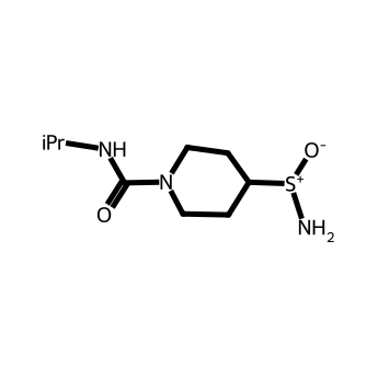 CC(C)NC(=O)N1CCC([S+](N)[O-])CC1